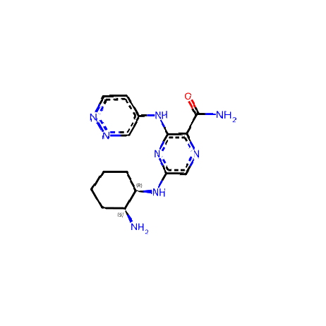 NC(=O)c1ncc(N[C@@H]2CCCC[C@@H]2N)nc1Nc1ccnnc1